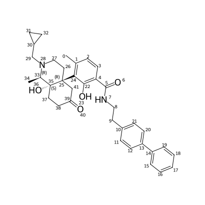 Cc1ccc(C(=O)NCCc2ccc(-c3ccccc3)cc2)c(O)c1[C@]12CCN(CC3CC3)[C@H](C)[C@]1(O)CCC(=O)C2